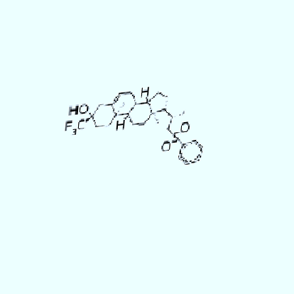 C[C@H](CS(=O)(=O)c1ccccc1)[C@H]1CC[C@H]2C3CC=C4C[C@](O)(C(F)(F)F)CC[C@]4(C)[C@H]3CC[C@]12C